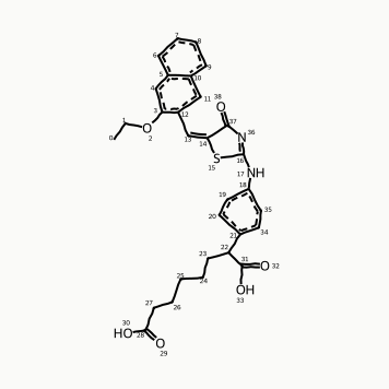 CCOc1cc2ccccc2cc1/C=C1/SC(Nc2ccc(C(CCCCCC(=O)O)C(=O)O)cc2)=NC1=O